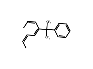 C\C=C/C=C(\C=C/C)C(c1ccccc1)(C(F)(F)F)C(F)(F)F